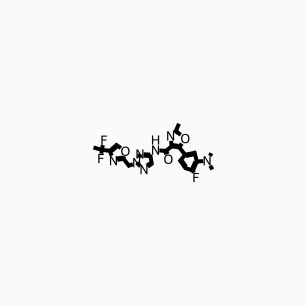 Cc1nc(C(=O)Nc2cnn(Cc3nc(C(C)(F)F)co3)n2)c(-c2ccc(F)c(N(C)C)c2)o1